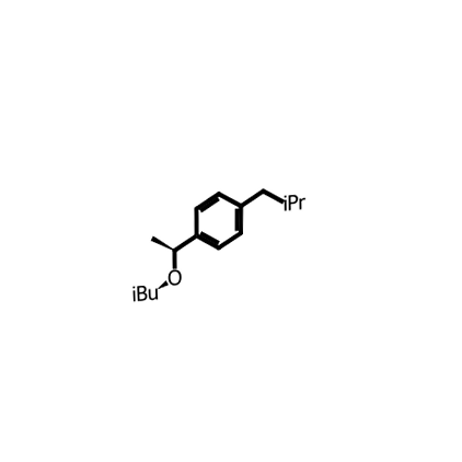 CC[C@H](C)O[C@@H](C)c1ccc(CC(C)C)cc1